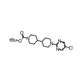 CC(C)(C)OC(=O)N1CCC(C2CCN(c3ncc(Cl)cn3)CC2)CC1